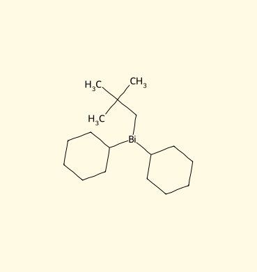 CC(C)(C)[CH2][Bi]([CH]1CCCCC1)[CH]1CCCCC1